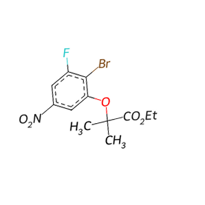 CCOC(=O)C(C)(C)Oc1cc([N+](=O)[O-])cc(F)c1Br